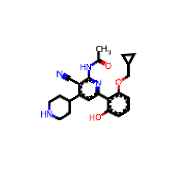 CC(=O)Nc1nc(-c2c(O)cccc2OCC2CC2)cc(C2CCNCC2)c1C#N